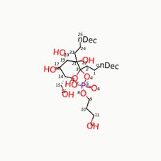 CCCCCCCCCCCCC1(OP(=O)(O)OCCCO)O[C@H](CO)[C@@H](O)[C@H](O)[C@]1(O)CCCCCCCCCCCC